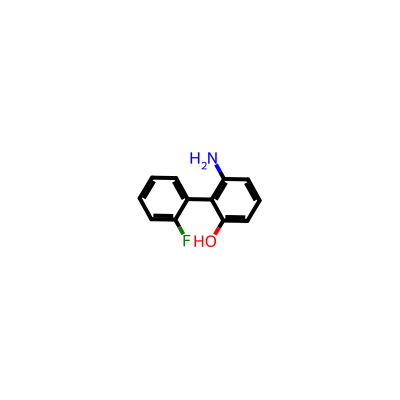 Nc1cccc(O)c1-c1ccccc1F